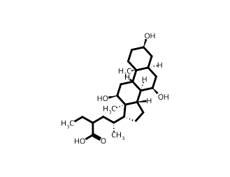 CCC(C[C@@H](C)[C@H]1CC[C@H]2[C@@H]3[C@H](O)C[C@@H]4C[C@H](O)CC[C@]4(C)[C@H]3C[C@H](O)[C@]12C)C(=O)O